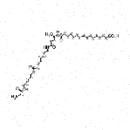 C[C@@H](CCC(=O)NCCOCCOCC(=O)NCCOCCNC(=O)CN)NC(=O)CCCCCCCCCCCCCCC(=O)O